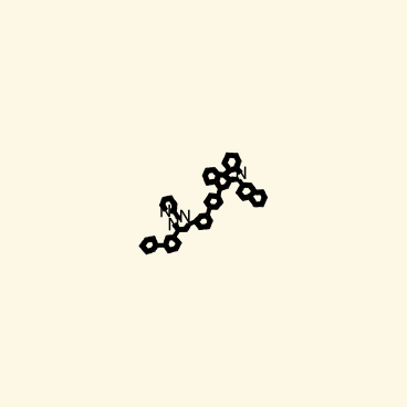 c1ccc(-c2cccc(-c3cc(-c4cccc(-c5ccc(-c6cc7c(-c8ccc9ccccc9c8)nc8ccccc8c7c7ccccc67)cc5)c4)nc(-c4ccccn4)n3)c2)cc1